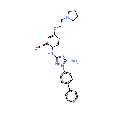 Nc1nc(NC2C=CC(OCCN3CCCC3)=CC2=C=O)nn1-c1ccc(-c2ccccc2)cc1